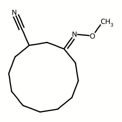 CON=C1CCCCCCCCCC(C#N)C1